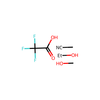 CC#N.CCO.CO.O=C(O)C(F)(F)F